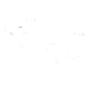 COC(=O)[C@@H]1CCCN1CCOc1ccc(-c2cc(=O)c3c(OC)cc(OC)cc3o2)cc1